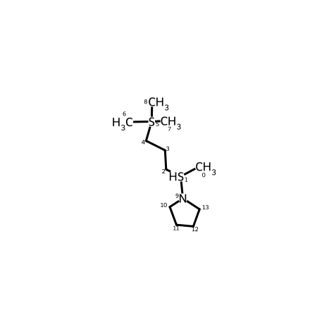 C[SH](CCCS(C)(C)C)N1CCCC1